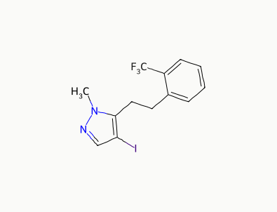 Cn1ncc(I)c1CCc1ccccc1C(F)(F)F